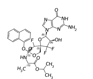 CC(C)OC(=O)[C@H](C)N[P@](=O)(OC[C@@]1(C(F)F)O[C@@H](n2cnc3c(=O)[nH]c(N)nc32)[C@@H](O)C1(F)F)Oc1cccc2ccccc12